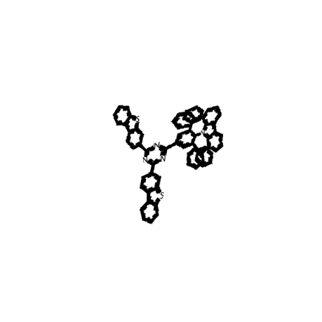 c1ccc(-c2cc(-c3nc(-c4ccc5c(c4)sc4ccccc45)nc(-c4ccc5c(c4)sc4ccccc45)n3)cc(-c3ccccc3)c2-n2c3c(-c4ccccc4)cccc3c3cccc(-c4ccccc4)c32)cc1